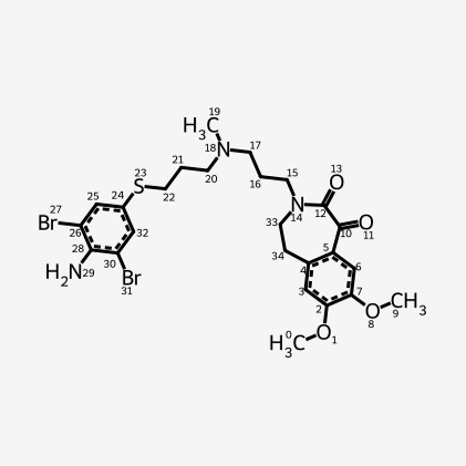 COc1cc2c(cc1OC)C(=O)C(=O)N(CCCN(C)CCCSc1cc(Br)c(N)c(Br)c1)CC2